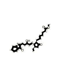 CC[C@@H]1CC(=O)[C@H](CC=CCCCC(=O)OC)[C@H]1C=CC(O)CCc1sc2ccccc2c1Cl